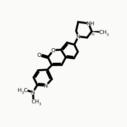 C[C@H]1CN(C2C=c3oc(=O)c(-c4ccc(N(C)C)nc4)cc3=CC2)CCN1